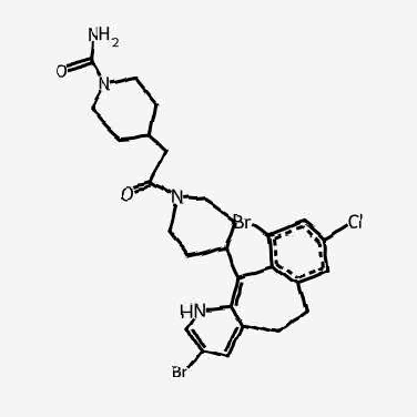 NC(=O)N1CCC(CC(=O)N2CCC(C3=C4NC=C(Br)C=C4CCc4cc(Cl)cc(Br)c43)CC2)CC1